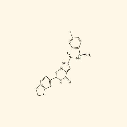 C[C@@H](NC(=O)c1cc2c(=O)[nH]c(-c3ccc4c(c3)CCC4)cn2n1)c1ccc(F)cc1